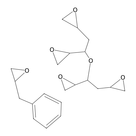 C1OC1CC(OC(CC1CO1)C1CO1)C1CO1.c1ccc(CC2CO2)cc1